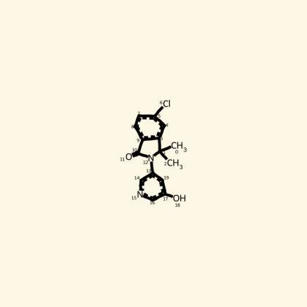 CC1(C)c2cc(Cl)ccc2C(=O)N1c1cncc(O)c1